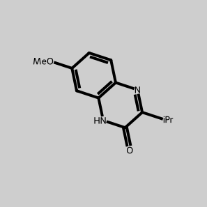 COc1ccc2nc(C(C)C)c(=O)[nH]c2c1